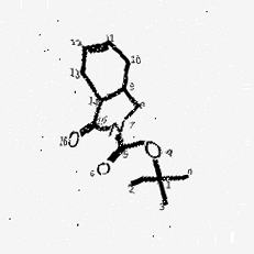 CC(C)(C)OC(=O)N1CC2CC=CCC2C1=O